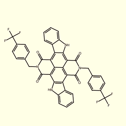 O=C1c2c3[nH]c4ccccc4c3c3c4c(c5[nH]c6ccccc6c5c(c24)C(=O)N1Cc1ccc(C(F)(F)F)cc1)C(=O)N(Cc1ccc(C(F)(F)F)cc1)C3=O